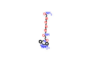 CN(N)/C1=C(\N)c2ccccc2N(C(=O)CCC(=O)NCCOCCOCCOCCOCCC(N)=O)Cc2ccccc21